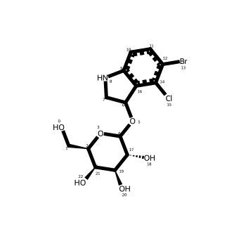 OC[C@H]1OC(OC2CNc3ccc(Br)c(Cl)c32)[C@H](O)[C@@H](O)[C@H]1O